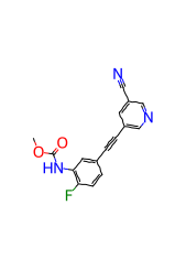 COC(=O)Nc1cc(C#Cc2cncc(C#N)c2)ccc1F